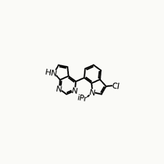 CC(C)n1cc(Cl)c2cccc(-c3ncnc4[nH]ccc34)c21